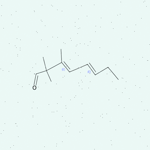 CC/C=C/C=C(\C)C(C)(C)[C]=O